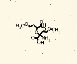 COCCC(OC(N)(CCOC)C(=O)O)C(=O)O